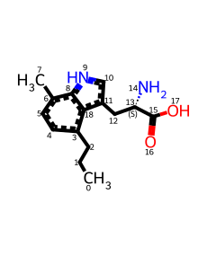 CCCc1ccc(C)c2[nH]cc(C[C@H](N)C(=O)O)c12